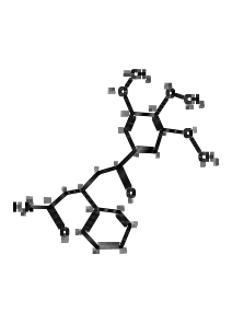 COc1cc(C(=O)CC(CC(N)=O)c2ccccc2)cc(OC)c1OC